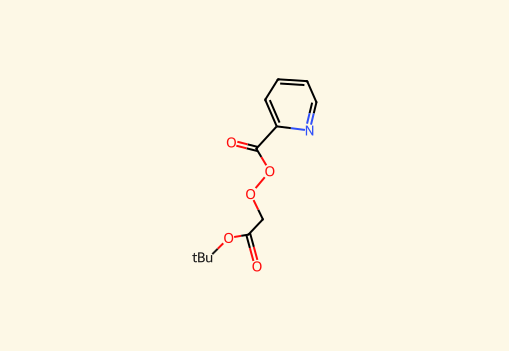 CC(C)(C)OC(=O)COOC(=O)c1ccccn1